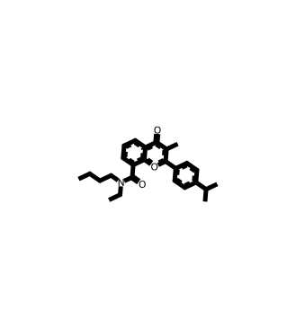 CCCCN(CC)C(=O)c1cccc2c(=O)c(C)c(-c3ccc(C(C)C)cc3)oc12